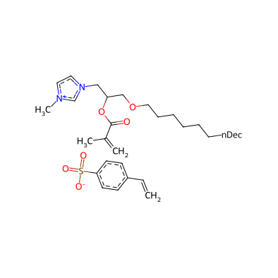 C=C(C)C(=O)OC(COCCCCCCCCCCCCCCCC)Cn1cc[n+](C)c1.C=Cc1ccc(S(=O)(=O)[O-])cc1